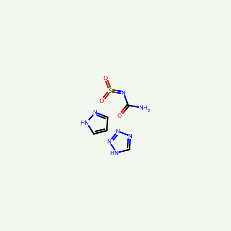 NC(=O)N=S(=O)=O.c1cn[nH]c1.c1nnn[nH]1